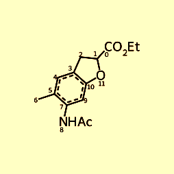 CCOC(=O)C1Cc2cc(C)c(NC(C)=O)cc2O1